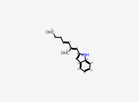 O=CCC/C=C/C(C=O)=C/c1cc2ccccc2[nH]1